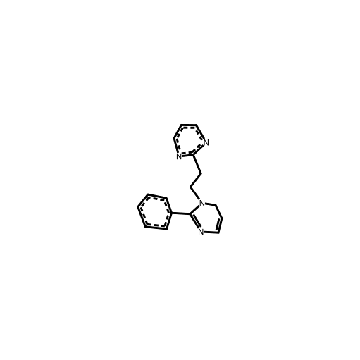 C1=CN=C(c2ccccc2)N(CCc2ncccn2)C1